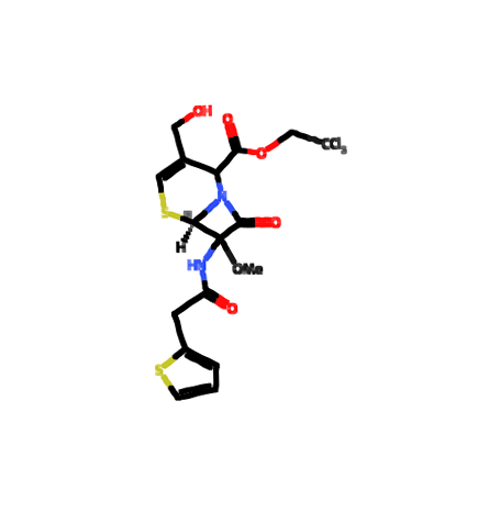 COC1(NC(=O)Cc2cccs2)C(=O)N2C(C(=O)OCC(Cl)(Cl)Cl)C(CO)=CS[C@@H]21